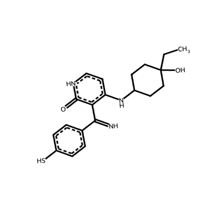 CCC1(O)CCC(Nc2cc[nH]c(=O)c2C(=N)c2ccc(S)cc2)CC1